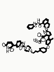 Cc1cc(OC2CCC(CCCN3CCN(c4nc5ccc(C6CCC(=O)NC6=O)cc5o4)CC3)CC2)ccc1-c1ccc(N2CCc3cccc(C(=O)Nc4nc5ccccc5s4)c3C2)nc1C(=O)OC(C)(C)C